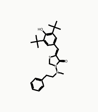 CN(CCc1ccccc1)N1CS/C(=C\c2cc(C(C)(C)C)c(O)c(C(C)(C)C)c2)C1=O